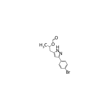 CC(Cc1cc(-c2ccc(Br)cc2)n[nH]1)OC=O